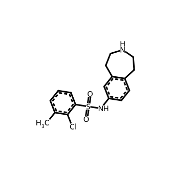 Cc1cccc(S(=O)(=O)Nc2ccc3c(c2)CCNCC3)c1Cl